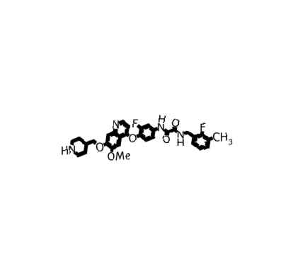 COc1cc2c(Oc3ccc(NC(=O)C(=O)NCc4cccc(C)c4F)cc3F)ccnc2cc1OCC1CCNCC1